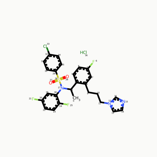 CC(c1ccc(F)cc1CCCn1ccnc1)N(c1cc(F)ccc1F)S(=O)(=O)c1ccc(Cl)cc1.Cl